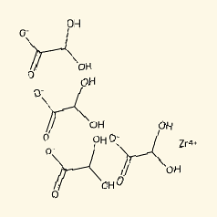 O=C([O-])C(O)O.O=C([O-])C(O)O.O=C([O-])C(O)O.O=C([O-])C(O)O.[Zr+4]